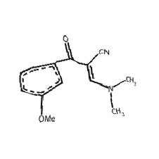 COc1cccc(C(=O)C(C#N)=CN(C)C)c1